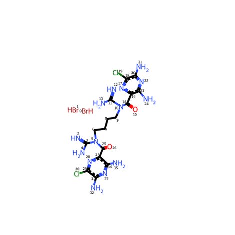 Br.Br.N=C(N)N(CCCCN(C(=N)N)C(=O)c1nc(Cl)c(N)nc1N)C(=O)c1nc(Cl)c(N)nc1N